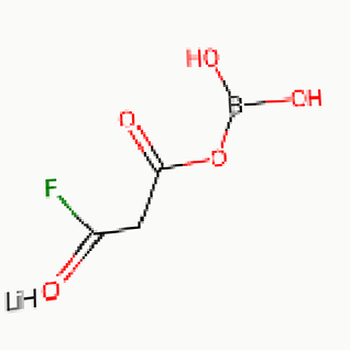 O=C(F)CC(=O)OB(O)O.[LiH]